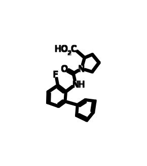 O=C(O)C1CCCN1C(=O)Nc1c(F)cccc1-c1ccccc1